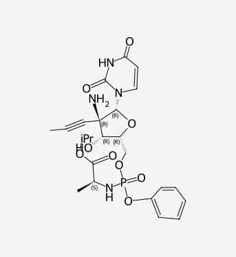 CC#C[C@@]1(N)[C@@H](O)[C@@H](COP(=O)(N[C@@H](C)C(=O)OC(C)C)Oc2ccccc2)O[C@H]1n1ccc(=O)[nH]c1=O